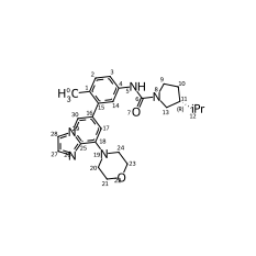 Cc1ccc(NC(=O)N2CC[C@H](C(C)C)C2)cc1-c1cc(N2CCOCC2)c2nccn2c1